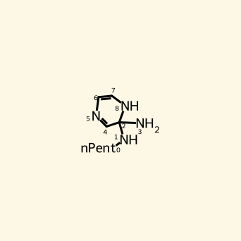 CCCCCNC1(N)C=NC=CN1